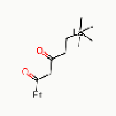 CCC(=O)CC(=O)C[CH2][La]([CH3])([CH3])([CH3])[CH3]